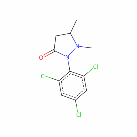 CC1CC(=O)N(c2c(Cl)cc(Cl)cc2Cl)N1C